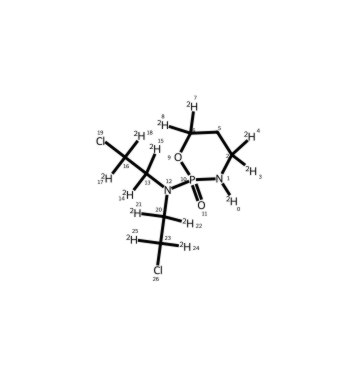 [2H]N1C([2H])([2H])CC([2H])([2H])OP1(=O)N(C([2H])([2H])C([2H])([2H])Cl)C([2H])([2H])C([2H])([2H])Cl